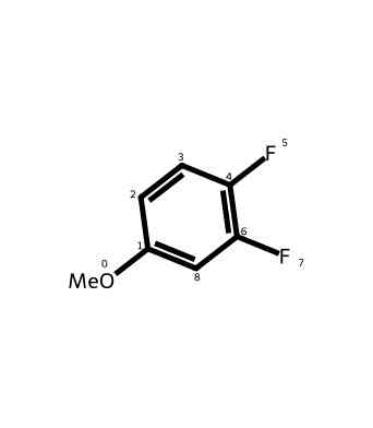 [CH2]Oc1ccc(F)c(F)c1